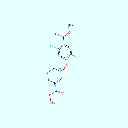 CC(C)(C)OC(=O)c1cc(Cl)c(O[C@@H]2CCCN(C(=O)OC(C)(C)C)C2)cc1F